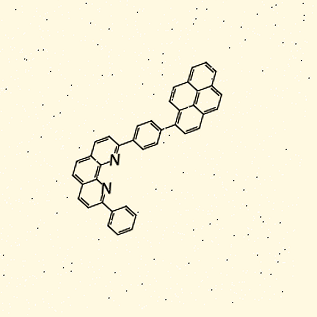 c1ccc(-c2ccc3ccc4ccc(-c5ccc(-c6ccc7ccc8cccc9ccc6c7c89)cc5)nc4c3n2)cc1